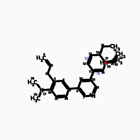 C=CCc1cc(-c2cncc(C(/C=C\C(CC)CC)=C/NC=C)c2)ccc1N(C)C